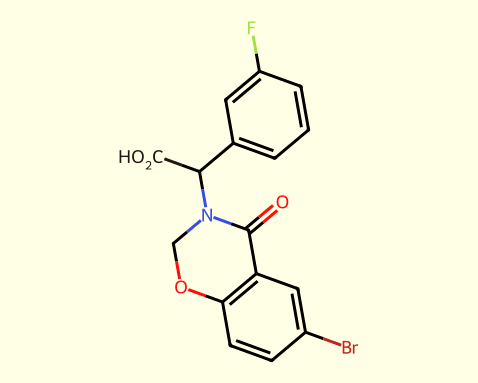 O=C(O)C(c1cccc(F)c1)N1COc2ccc(Br)cc2C1=O